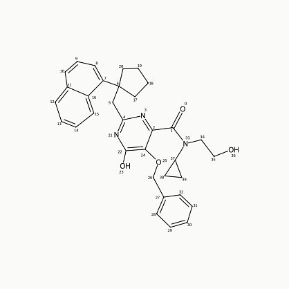 O=C(c1nc(CC2(c3cccc4ccccc34)CCCC2)nc(O)c1OCc1ccccc1)N(CCO)C1CC1